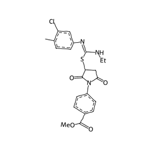 CCN/C(=N/c1ccc(C)c(Cl)c1)SC1CC(=O)N(c2ccc(C(=O)OC)cc2)C1=O